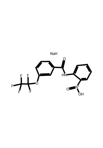 O=C(Nc1ccccc1[N+](=O)O)c1cccc(OC(F)(F)C(F)(F)F)c1.[NaH]